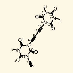 C#Cn1c(=O)n(C)c(=O)n(C#CC#Cn2c(=O)n(C)c(=O)n(C)c2=O)c1=O